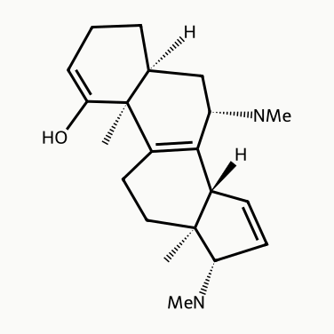 CN[C@H]1C[C@@H]2CCC=C(O)[C@]2(C)C2=C1[C@@H]1C=C[C@H](NC)[C@@]1(C)CC2